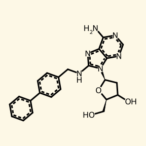 Nc1ncnc2c1nc(NCc1ccc(-c3ccccc3)cc1)n2[C@H]1CC(O)[C@@H](CO)O1